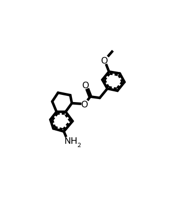 COc1cccc(CC(=O)OC2CCCc3ccc(N)cc32)c1